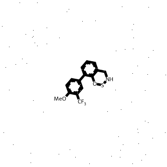 COc1ccc(-c2cccc3c2OSNC3)cc1C(F)(F)F